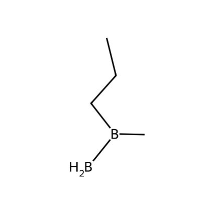 BB(C)CCC